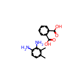 Cc1ccc(N)c(N)c1C.O=C(O)c1ccccc1C(=O)O